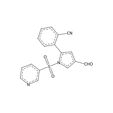 N#Cc1ccccc1-c1cc(C=O)cn1S(=O)(=O)c1cccnc1